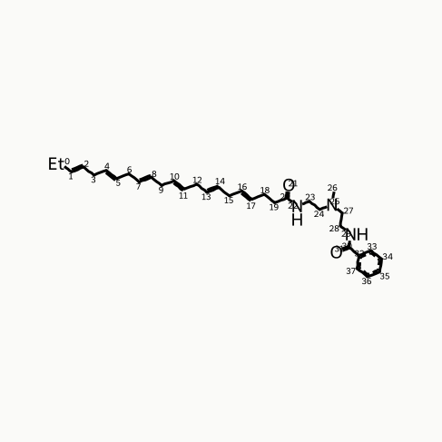 CCC=CCC=CCC=CCC=CCC=CCC=CCCC(=O)NCCN(C)CCNC(=O)c1ccccc1